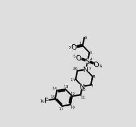 CC(=O)CS(=O)(=O)N1CCN(Cc2ccc(F)cc2)CC1